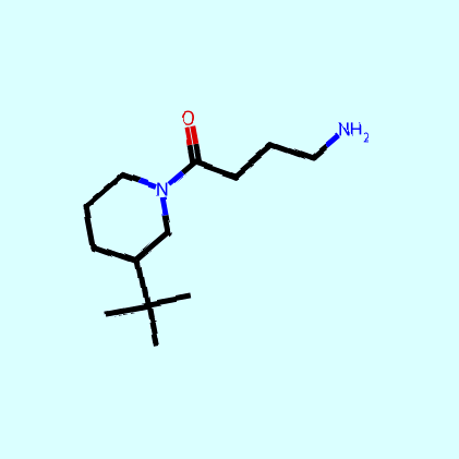 CC(C)(C)C1CCCN(C(=O)CCCN)C1